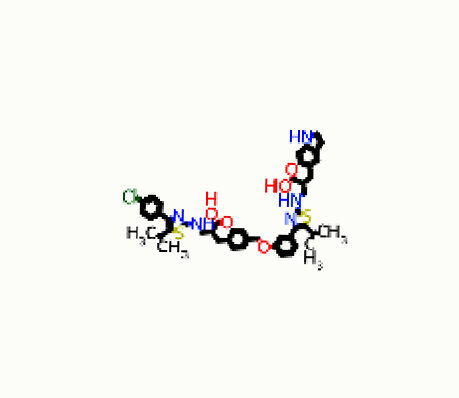 CC(C)c1sc(NCC(Cc2ccc(COc3cccc(-c4nc(NCC(Cc5ccc6[nH]ccc6c5)C(=O)O)sc4C(C)C)c3)cc2)C(=O)O)nc1-c1ccc(Cl)cc1